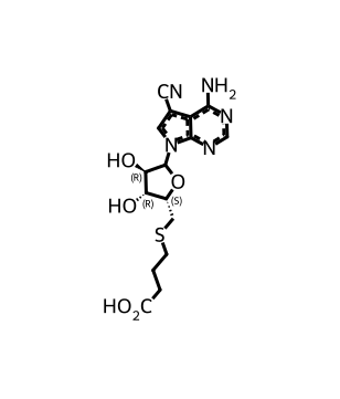 N#Cc1cn(C2O[C@H](CSCCCC(=O)O)[C@H](O)[C@H]2O)c2ncnc(N)c12